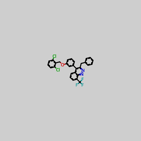 FC(F)(F)c1cccc2c(-c3cccc(OCc4c(Cl)cccc4Cl)c3)c(Cc3ccccc3)nnc12